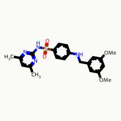 COc1cc(CNc2ccc(S(=O)(=O)Nc3nc(C)cc(C)n3)cc2)cc(OC)c1